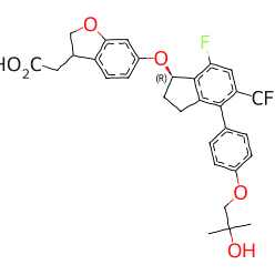 CC(C)(O)COc1ccc(-c2c(C(F)(F)F)cc(F)c3c2CC[C@H]3Oc2ccc3c(c2)OCC3CC(=O)O)cc1